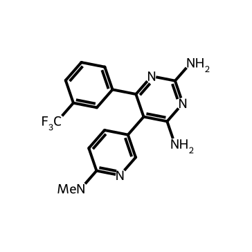 CNc1ccc(-c2c(N)nc(N)nc2-c2cccc(C(F)(F)F)c2)cn1